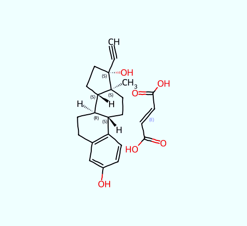 C#C[C@]1(O)CC[C@H]2[C@@H]3CCc4cc(O)ccc4[C@H]3CC[C@@]21C.O=C(O)/C=C/C(=O)O